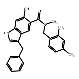 Cc1ccc(CN(C)C(=O)c2cc3c(Cc4ccccc4)n[nH]c3cc2O)c(C)c1